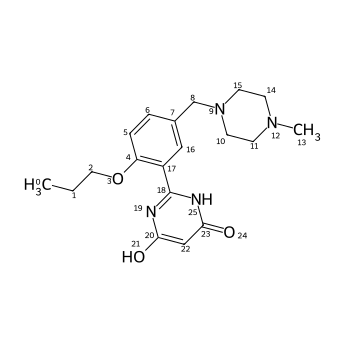 CCCOc1ccc(CN2CCN(C)CC2)cc1-c1nc(O)cc(=O)[nH]1